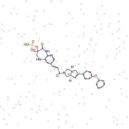 CC1(OP(=O)(O)O)CNc2cc(/C=C/C(=O)N3C[C@H]4CC(c5ccc(Oc6ccccc6)cc5)=C[C@H]4C3)cnc2NC1=O